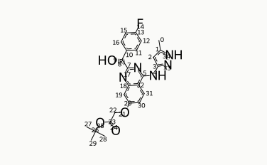 Cc1cc(Nc2nc([C@H](O)c3ccc(F)cc3)nc3cc(OCC(=O)OC(C)(C)C)ccc23)n[nH]1